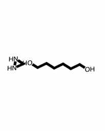 C1NN1.OCCCCCCO